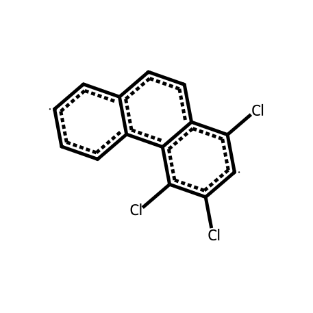 Clc1[c]c(Cl)c2ccc3c[c]ccc3c2c1Cl